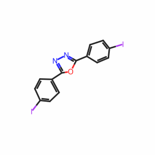 Ic1ccc(-c2nnc(-c3ccc(I)cc3)o2)cc1